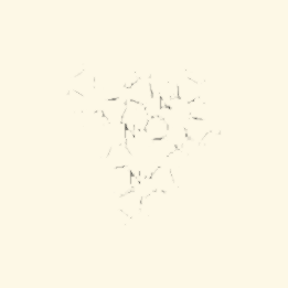 CC1(C)c2ccccc2-c2ccc(N(c3cccc(-n4c5ccccc5c5ccccc54)c3)c3cc4c5c6c3c3ccccc3n6-c3ccccc3-c3cccc(c3-5)C4(C)C)cc21